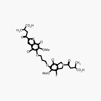 COc1c(F)c2c(c(Cl)c1OCCCOc1c(OC)c(Cl)c3sc(C(=O)CC(C)C(=O)O)cc3c1Cl)CN(C(=O)CC(C)C(=O)O)C2